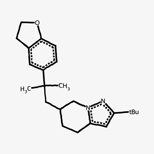 CC(C)(C)c1cc2n(n1)CC(CC(C)(C)c1ccc3c(c1)CCO3)CC2